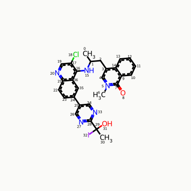 CC(Cc1cn(C)c(=O)c2ccccc12)Nc1c(Cl)cnc2ccc(-c3cnc(C(C)(O)I)nc3)cc12